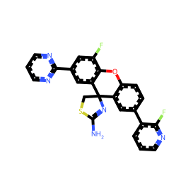 NC1=NC2(CS1)c1cc(-c3cccnc3F)ccc1Oc1c(F)cc(-c3ncccn3)cc12